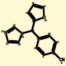 N#Cc1ccc(C(c2ccco2)n2ccnc2)cc1